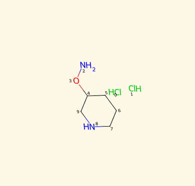 Cl.Cl.NOC1CCCNC1